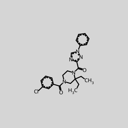 CCC1(CC)CN(C(=O)c2cccc(Cl)c2)CCN1C(=O)c1ncn(-c2ccccc2)n1